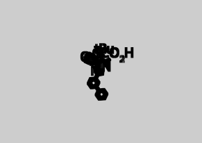 Cc1nc2cc(-c3cccc(-c4ccccc4)c3)nn2c(N2C3CCC2COC3)c1[C@H](OC(C)(C)C)C(=O)O